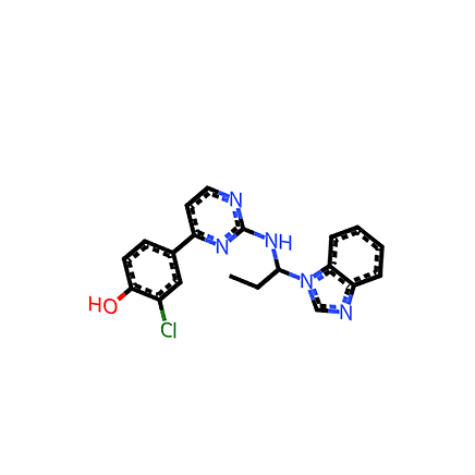 CCC(Nc1nccc(-c2ccc(O)c(Cl)c2)n1)n1cnc2ccccc21